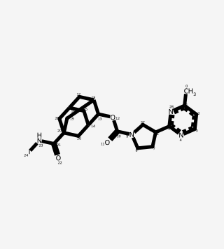 Cc1ccnc(C2CCN(C(=O)OC3C4CC5CC3CC(C(=O)NI)(C5)C4)C2)n1